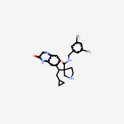 O=C(NCc1cc(C(F)(F)F)cc(C(F)(F)F)c1)C1(C(CC2CC2)c2ccc3ncc(=O)[nH]c3c2)CCNC1